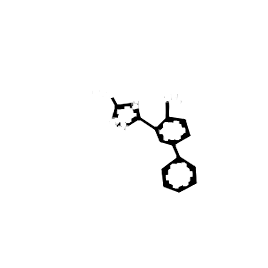 Cc1ccc(-c2ccccc2)cc1-c1noc(C(Cl)(Cl)Cl)n1